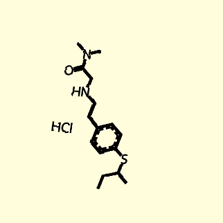 CCC(C)Sc1ccc(CCNCC(=O)N(C)C)cc1.Cl